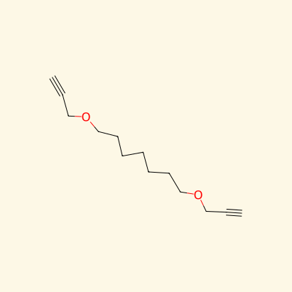 C#CCOCCCCCCCOCC#C